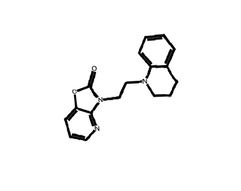 O=c1oc2cccnc2n1CCN1CCCc2ccccc21